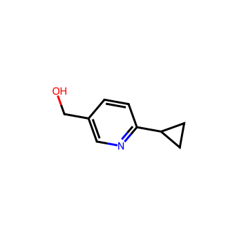 OCc1ccc(C2CC2)nc1